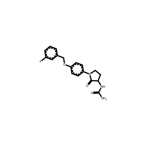 NC(=O)NC1CCN(c2ccc(OCc3cccc(F)c3)cc2)C1=O